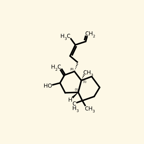 C=CC(C)=CC[C@H]1C(=C)C(O)C[C@H]2C(C)(C)CCC[C@]12C